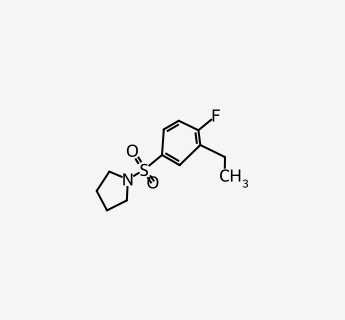 CCc1cc(S(=O)(=O)N2CCCC2)ccc1F